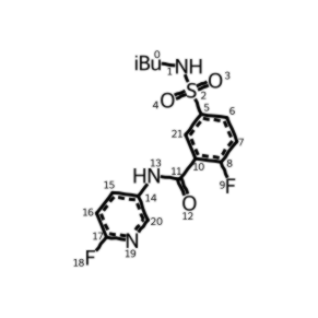 CCC(C)NS(=O)(=O)c1ccc(F)c(C(=O)Nc2ccc(F)nc2)c1